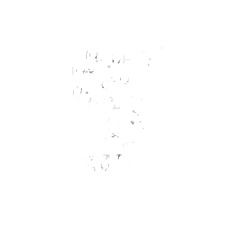 COC(=O)C1O[C@@H](OC(C)(CCC=C(C)C)C2CC[C@]3(C)C2C(=O)CC2[C@@]4(C)CC[C@H](OC(C)=O)C(C)(C)C4CC[C@]23C)C(O)C(O)[C@@H]1O